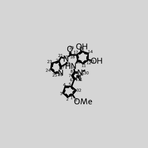 COc1cccc(-c2cc(Nc3cc(O)cc(O)c3C(=O)N3Cc4cccnc4C3)n(C)n2)c1